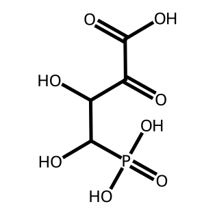 O=C(O)C(=O)C(O)C(O)P(=O)(O)O